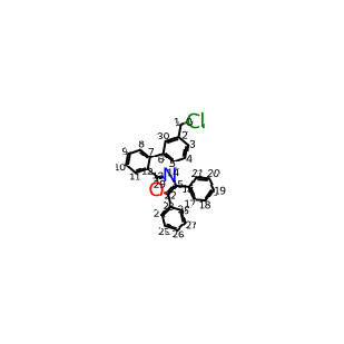 ClCc1cccc(-c2ccccc2-c2nc(-c3ccccc3)c(-c3ccccc3)o2)c1